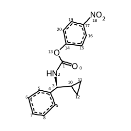 O=C(N[C@H](c1ccccc1)C1CC1)Oc1ccc([N+](=O)[O-])cc1